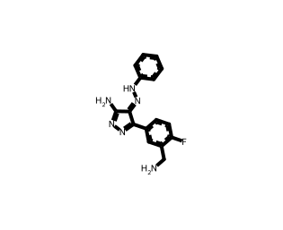 NCc1cc(C2=NN=C(N)C2=NNc2ccccc2)ccc1F